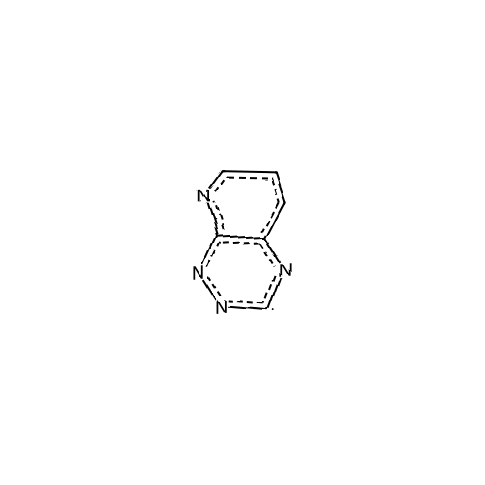 [c]1nnc2ncccc2n1